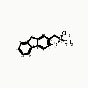 C[N+](C)(C)Cc1ccc2c(c1)Cc1ccccc1-2